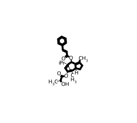 CC1=C2[C@@H](CC1)[C@]1(C)O[C@@](C(C)C)(C[C@H]1OC(=O)[C@@H](C)O)[C@H]2OC(=O)/C=C/c1ccccc1